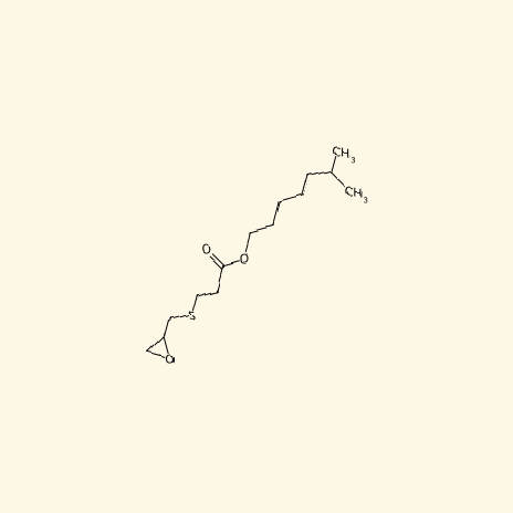 CC(C)CCCCCOC(=O)CCSCC1CO1